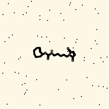 O=C(NCCCCCN1C(=O)C=CC1=O)OC1/C=C/CCCCC1